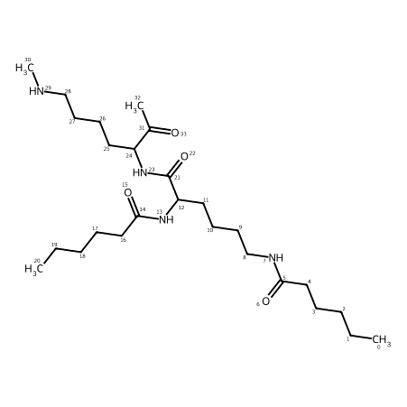 CCCCCC(=O)NCCCCC(NC(=O)CCCCC)C(=O)NC(CCCCNC)C(C)=O